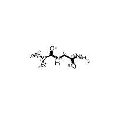 CCCN(CC)C(=O)NCC(N)=O